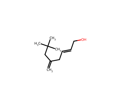 C=C(CC=CCO)CC(C)(C)C